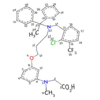 CN(CC(=O)O)c1cccc(OCCCN(Cc2cccc(C(F)(F)F)c2Cl)C(C)(c2ccccc2)c2ccccc2)c1